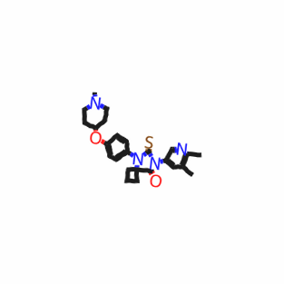 Cc1cc(N2C(=O)C3(CCC3)N(c3ccc(OC4CCN(C)CC4)cc3)C2=S)cnc1C